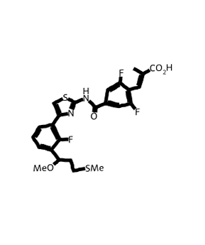 COC(CCSC)c1cccc(-c2csc(NC(=O)c3cc(F)c(C=C(C)C(=O)O)c(F)c3)n2)c1F